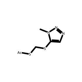 CC(=O)SCSc1cnnn1C